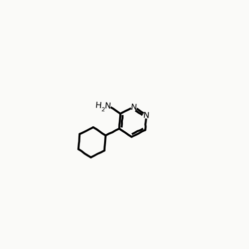 Nc1nnccc1C1CCCCC1